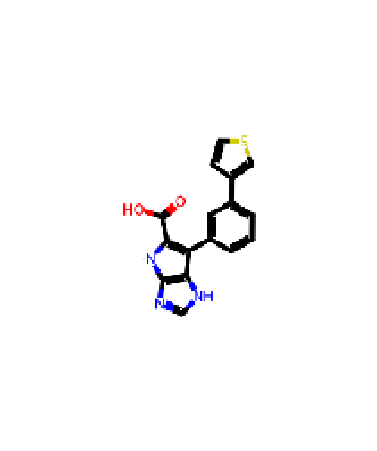 O=C(O)C1=C(c2cccc(-c3ccsc3)c2)c2[nH]cnc2[N]1